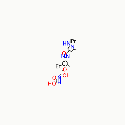 CCc1cc(-c2noc(-c3cc(C)nc(NC(C)C)c3)n2)cc(C)c1OC[C@H](O)CNC(=O)CO